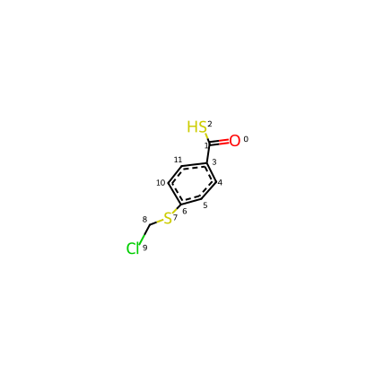 O=C(S)c1ccc(SCCl)cc1